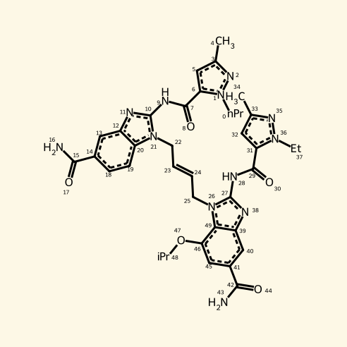 CCCn1nc(C)cc1C(=O)Nc1nc2cc(C(N)=O)ccc2n1C/C=C/Cn1c(NC(=O)c2cc(C)nn2CC)nc2cc(C(N)=O)cc(OC(C)C)c21